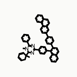 CN1C(c2ccccc2)=NC(c2ccc(-c3c(-c4ccc(-c5ccc6c(ccc7ccccc76)c5)cc4)ccc4ccccc34)cc2)=NC1C1(C)C=CC=CC1